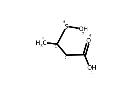 CC(CC(=O)O)SO